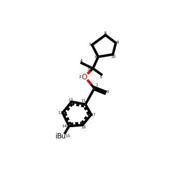 C=C(OC(C)(C)C1CCCC1)c1ccc(C(C)CC)cc1